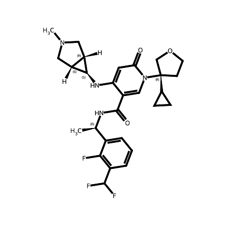 C[C@@H](NC(=O)c1cn([C@@]2(C3CC3)CCOC2)c(=O)cc1N[C@H]1[C@@H]2CN(C)C[C@@H]21)c1cccc(C(F)F)c1F